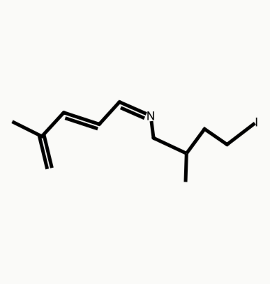 C=C(C)/C=C/C=N\CC(C)CCI